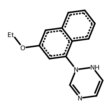 CCOc1cc(N2C=NC=CN2)c2ccccc2c1